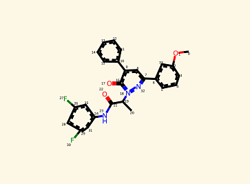 COc1cccc(-c2cc(-c3ccccc3)c(=O)n(C(C)C(=O)Nc3cc(F)cc(F)c3)n2)c1